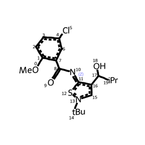 COc1ccc(Cl)cc1C(=O)/N=c1\sn(C(C)(C)C)cc1C(O)C(C)C